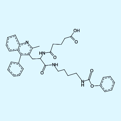 Cc1nc2ccccc2c(-c2ccccc2)c1CC(NC(=O)CCCC(=O)O)C(=O)NCCCCNC(=O)Oc1ccccc1